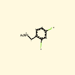 [CH2]C(=O)NCc1ccc(F)cc1F